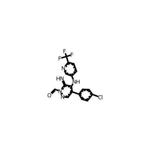 N=c1c(Nc2ccc(C(F)(F)F)nc2)c(-c2ccc(Cl)cc2)cnn1C=O